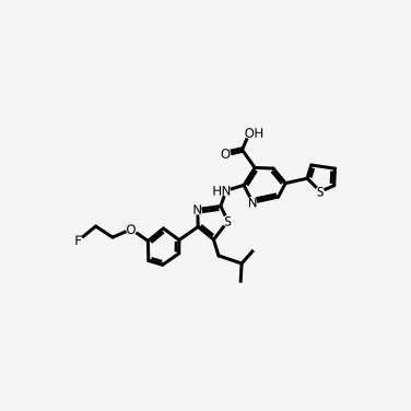 CC(C)Cc1sc(Nc2ncc(-c3cccs3)cc2C(=O)O)nc1-c1cccc(OCCF)c1